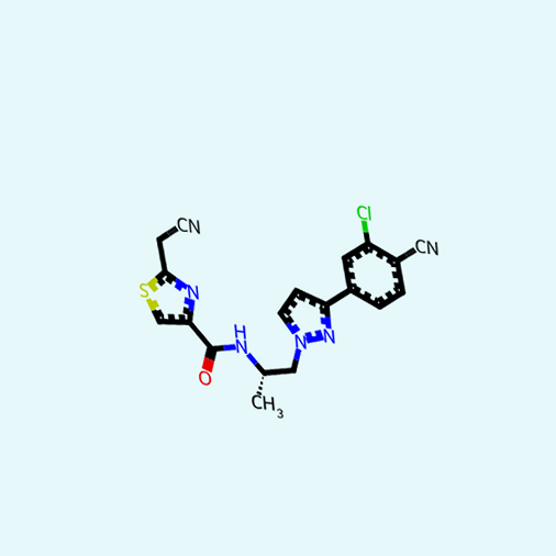 C[C@@H](Cn1ccc(-c2ccc(C#N)c(Cl)c2)n1)NC(=O)c1csc(CC#N)n1